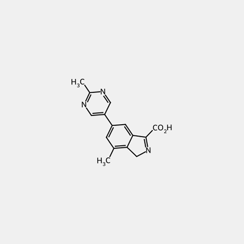 Cc1ncc(-c2cc(C)c3c(c2)C(C(=O)O)=NC3)cn1